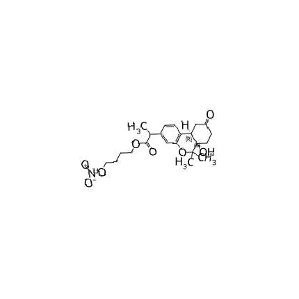 CC(C(=O)OCCCCO[N+](=O)[O-])c1ccc2c(c1)OC(C)(C)[C@@]1(O)CCC(=O)C[C@H]21